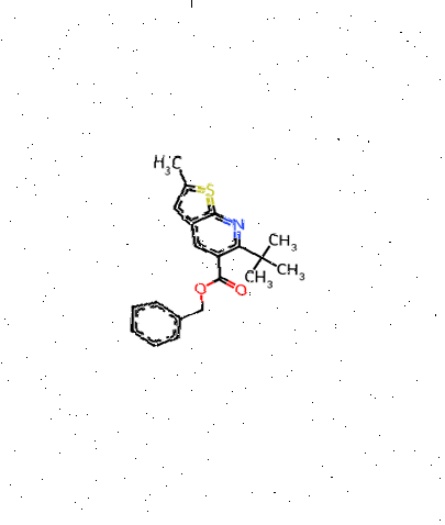 Cc1cc2cc(C(=O)OCc3ccccc3)c(C(C)(C)C)nc2s1